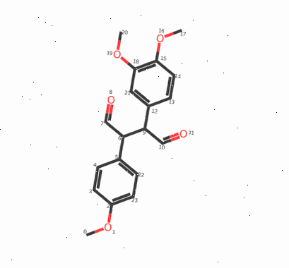 COc1ccc(C(C=O)C(C=O)c2ccc(OC)c(OC)c2)cc1